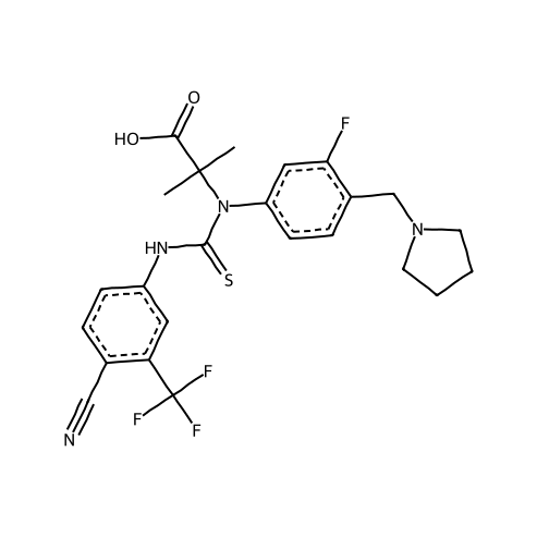 CC(C)(C(=O)O)N(C(=S)Nc1ccc(C#N)c(C(F)(F)F)c1)c1ccc(CN2CCCC2)c(F)c1